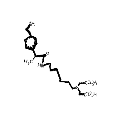 CC(C)Cc1ccc([C@H](C)C(=O)NCCCCCCN(CC(=O)O)CC(=O)O)cc1